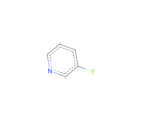 Fc1[c]nc[c]c1